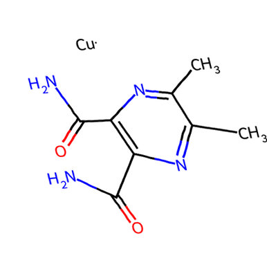 Cc1nc(C(N)=O)c(C(N)=O)nc1C.[Cu]